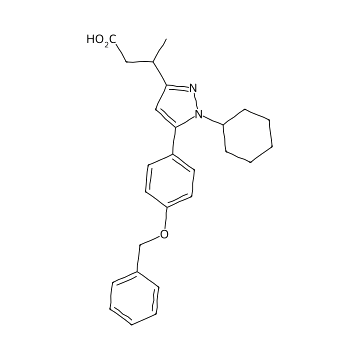 CC(CC(=O)O)c1cc(-c2ccc(OCc3ccccc3)cc2)n(C2CCCCC2)n1